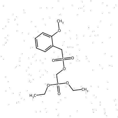 CCOP(=O)(COS(=O)(=O)Cc1ccccc1OC)OCC